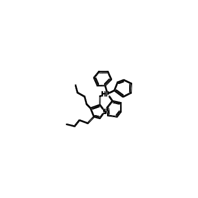 CCCCc1csc(C[PH](c2ccccc2)(c2ccccc2)c2ccccc2)c1CCCC